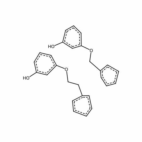 Oc1cccc(OCCc2ccccc2)c1.Oc1cccc(OCc2ccccc2)c1